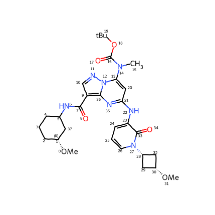 CO[C@@H]1CCCC(NC(=O)c2cnn3c(N(C)C(=O)OC(C)(C)C)cc(Nc4cccn([C@H]5C[C@@H](OC)C5)c4=O)nc23)C1